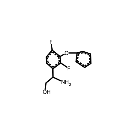 NC(CO)c1ccc(F)c(Oc2ccccc2)c1F